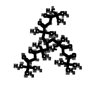 CC(C)(C)C(=O)CC(=O)C(C)(C)[CH2][Tb]([CH2]C(C)(C)C(=O)CC(=O)C(C)(C)C)[CH2]C(C)(C)C(=O)CC(=O)C(C)(C)C